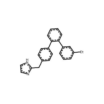 CCc1cccc(-c2ccccc2-c2ccc(Cc3ncc[nH]3)cc2)c1